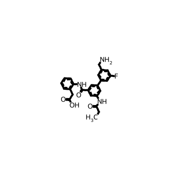 CCC(=O)Nc1cc(C(=O)Nc2ccccc2CC(=O)O)cc(-c2cc(F)cc(CN)c2)c1